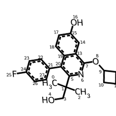 CC(C)(CO)c1nc(OC2CCC2)c2cc(O)ccc2c1-c1ccc(F)cc1